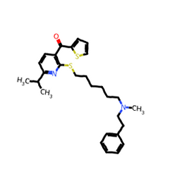 CC(C)c1ccc(C(=O)c2cccs2)c(SCCCCCCN(C)CCc2ccccc2)n1